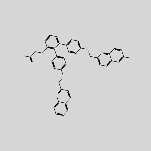 OC(=S)CCc1cccc(-c2ccc(OCc3ccc4cc(F)ccc4n3)cc2)c1-c1ccc(OCc2ccc3ccccc3n2)cc1